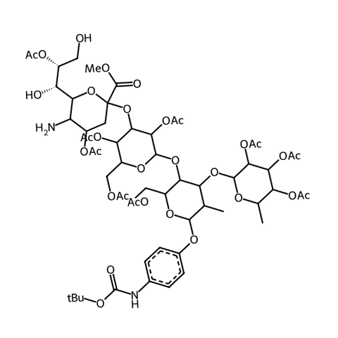 COC(=O)C1(OC2C(OC(C)=O)C(COC(C)=O)OC(OC3C(COC(C)=O)OC(Oc4ccc(NC(=O)OC(C)(C)C)cc4)C(C)C3OC3OC(C)C(OC(C)=O)C(OC(C)=O)C3OC(C)=O)C2OC(C)=O)CC(OC(C)=O)C(N)C([C@H](O)[C@@H](CO)OC(C)=O)O1